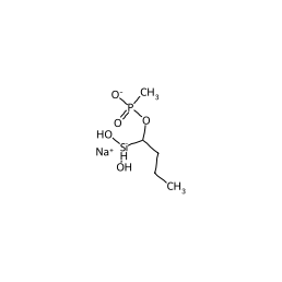 CCCC(OP(C)(=O)[O-])[SiH](O)O.[Na+]